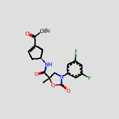 CC(C)COC(=O)C1=CC[C@H](NC(=O)C2(C)CN(c3cc(F)cc(F)c3)C(=O)O2)C1